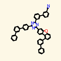 N#Cc1cccc(-c2cccc(-c3nc(-c4ccc(-c5cccc(-c6ccccc6)c5)cc4)nc(-c4ccc5c(c4)oc4cccc(-c6cccc(-c7ccccc7)c6)c45)n3)c2)c1